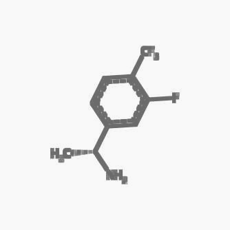 C[C@@H](N)c1ccc(C(F)(F)F)c(F)c1